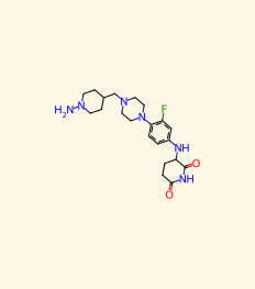 NN1CCC(CN2CCN(c3ccc(NC4CCC(=O)NC4=O)cc3F)CC2)CC1